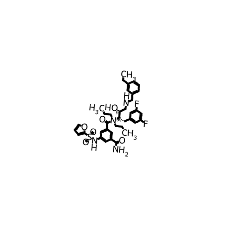 CCC[N+](CCC)(C(=O)c1cc(NS(=O)(=O)c2ccco2)cc(C(N)=O)c1)[C@@H](Cc1cc(F)cc(F)c1)[C@H](O)CNCc1cccc(CC)c1